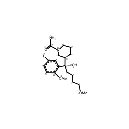 COCCCC[C@@](O)(c1cc(F)ccc1OC)[C@@H]1CCCN(C(N)=O)C1